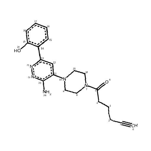 C#CCCCC(=O)N1CCN(c2cc(-c3ccccc3O)nnc2N)CC1